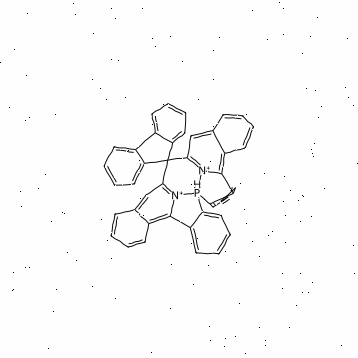 c1ccc2c(c1)-c1ccccc1C21c2cc3ccccc3c3[n+]2[PH]2(c4ccccc4-3)c3ccccc3-c3c4ccccc4cc1[n+]32